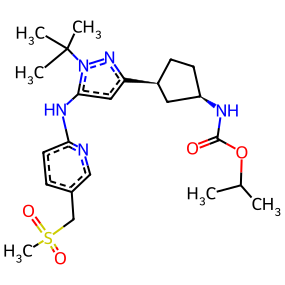 CC(C)OC(=O)N[C@@H]1CC[C@H](c2cc(Nc3ccc(CS(C)(=O)=O)cn3)n(C(C)(C)C)n2)C1